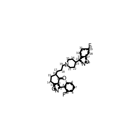 O=C1c2c(-c3ccccc3F)noc2CCC1CCCN1CCC(c2noc3cc(F)ccc23)CC1